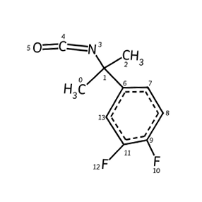 CC(C)(N=C=O)c1ccc(F)c(F)c1